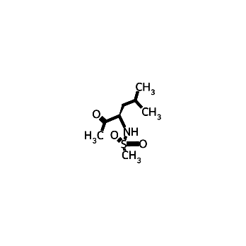 CC(=O)[C@@H](CC(C)C)NS(C)(=O)=O